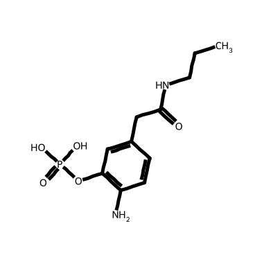 CCCNC(=O)Cc1ccc(N)c(OP(=O)(O)O)c1